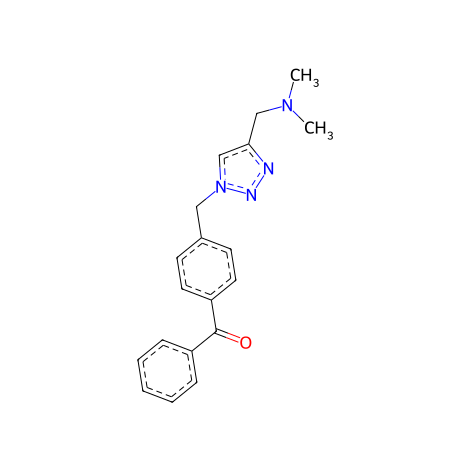 CN(C)Cc1cn(Cc2ccc(C(=O)c3ccccc3)cc2)nn1